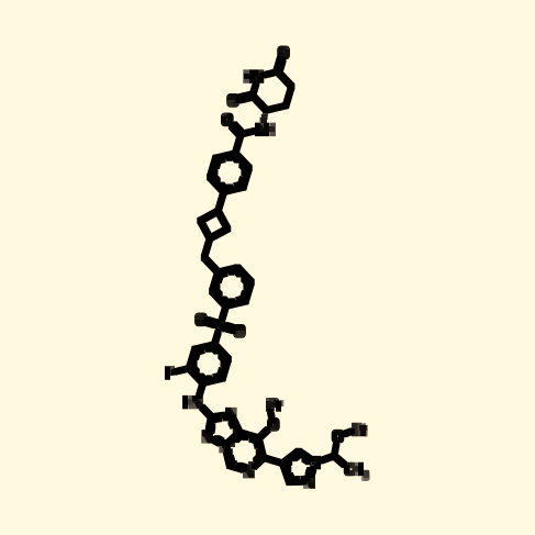 CCOC(C)n1cc(-c2ncn3nc(Nc4ccc(S(=O)(=O)c5cccc(CC6CC(c7ccc(C(=O)N[C@H]8CCC(=O)NC8=O)cc7)C6)c5)cc4F)nc3c2OC(C)C)cn1